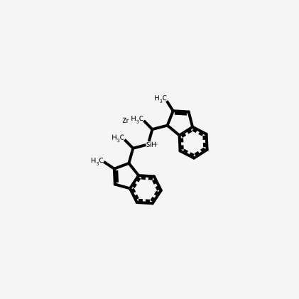 CC1=Cc2ccccc2C1C(C)[SiH]C(C)C1C(C)=Cc2ccccc21.[Zr]